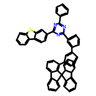 C1=CC2c3ccccc3C3(c4ccccc4-c4cccc(-c5cccc(-c6cccc(-c7nc(-c8ccccc8)nc(-c8ccc9c(c8)sc8ccccc89)n7)c6)c5)c43)C2C=C1